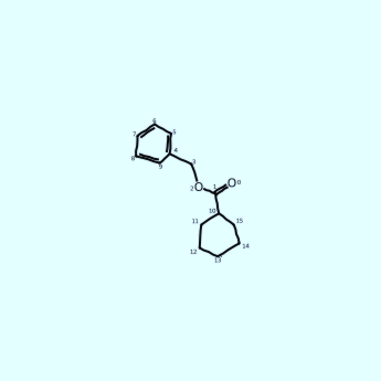 O=C(OCc1ccccc1)C1CC[CH]CC1